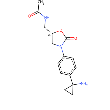 CC(=O)NC[C@H]1CN(c2ccc(C3(N)CC3)cc2)C(=O)O1